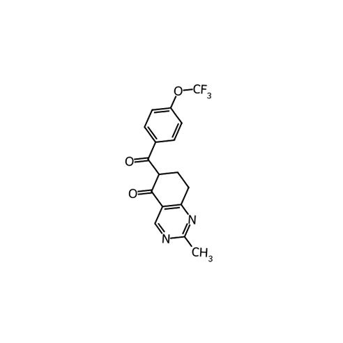 Cc1ncc2c(n1)CCC(C(=O)c1ccc(OC(F)(F)F)cc1)C2=O